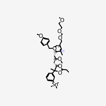 CCC(=O)O[C@@H](C[C@@H](C[C@H](OCc1ccc(OC)cc1)/C(C)=C\[C@@H](CC)COCOCCOC)OC)C(C)(C)c1ccc[c]([Sn]([CH3])([CH3])[CH3])c1